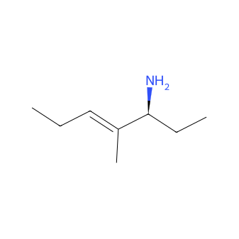 CC/C=C(\C)[C@@H](N)CC